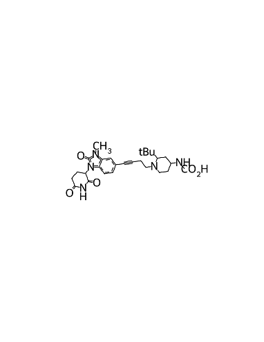 Cn1c(=O)n(C2CCC(=O)NC2=O)c2ccc(C#CCCN3CCC(NC(=O)O)CC3C(C)(C)C)cc21